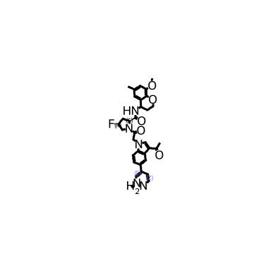 C=N/C=C(\C=C/N)c1ccc2c(c1)c(C(C)=O)cn2CC(=O)N1C[C@H](F)C[C@H]1C(=O)NC1CCOc2c(OC)cc(C)cc21